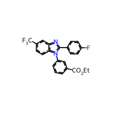 CCOC(=O)c1cccc(-n2c(-c3ccc(F)cc3)nc3cc(C(F)(F)F)ccc32)c1